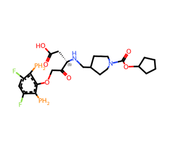 O=C(O)C[C@H](NCC1CCN(C(=O)OC2CCCC2)CC1)C(=O)COc1c(P)c(F)cc(F)c1P